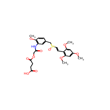 COc1cc(OC)c(C=C[S+]([O-])Cc2ccc(OC)c(NC(=O)COC(=O)CCC(=O)O)c2)c(OC)c1